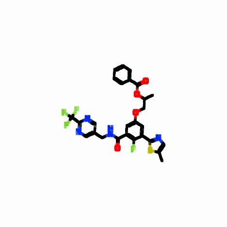 Cc1cnc(-c2cc(OCC(C)OC(=O)c3ccccc3)cc(C(=O)NCc3cnc(C(F)(F)F)nc3)c2F)s1